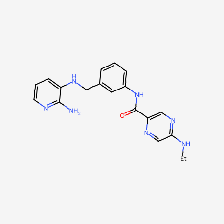 CCNc1cnc(C(=O)Nc2cccc(CNc3cccnc3N)c2)cn1